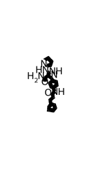 NC(=O)c1c(-c2ccc(NC(=O)CCc3ccccc3)cc2)n[nH]c1Nc1ccccn1